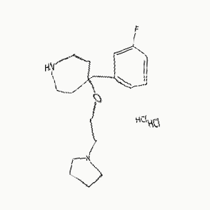 Cl.Cl.Fc1cccc(C2(OCCN3CCCC3)CCNCC2)c1